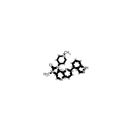 CN1CCC(n2c(=O)n(C)c3cnc4ccc(-c5cccc6[nH]ncc56)nc4c32)CC1